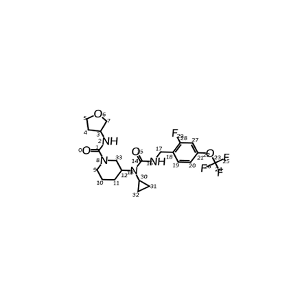 O=C(NC1CCOC1)N1CCCC(N(C(=O)NCc2ccc(OC(F)(F)F)cc2F)C2CC2)C1